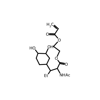 C=CC(=O)OCCOC(=O)C(NC(C)=O)C(CC)C1CCC(O)C(O)C1